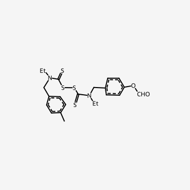 CCN(Cc1ccc(C)cc1)C(=S)SSC(=S)N(CC)Cc1ccc(OC=O)cc1